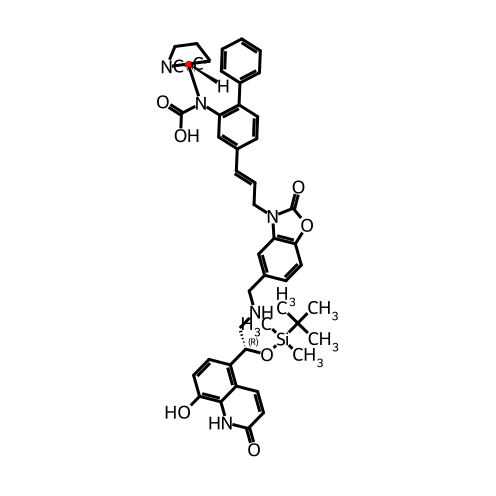 CC(C)(C)[Si](C)(C)O[C@@H](CNCc1ccc2oc(=O)n(CC=Cc3ccc(-c4ccccc4)c(N(C(=O)O)[C@H]4CN5CCC4CC5)c3)c2c1)c1ccc(O)c2[nH]c(=O)ccc12